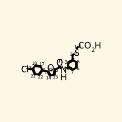 O=C(O)CSCc1cccc(NC(=O)c2ccc(-c3ccc(Cl)cc3)o2)c1